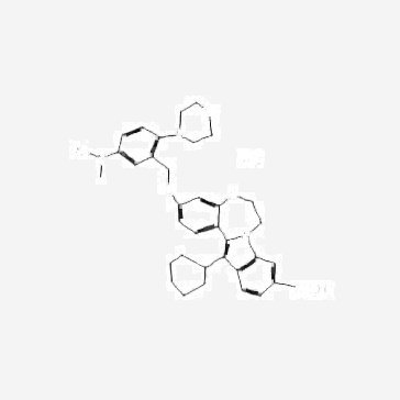 CC(=O)N(C)c1ccc(N2CCOCC2)c(COc2ccc3c(c2)OCCn2c-3c(C3CCCCC3)c3ccc(C(=O)O)cc32)c1.Cl